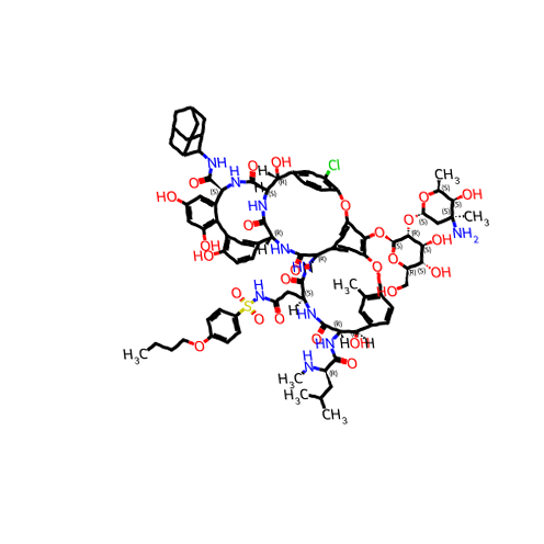 CCCCOc1ccc(S(=O)(=O)NC(=O)C[C@@H]2NC(=O)[C@H](NC(=O)[C@@H](CC(C)C)NC)[C@H](O)c3ccc(c(C)c3)Oc3cc4cc(c3O[C@@H]3O[C@H](CO)[C@@H](O)[C@H](O)[C@H]3O[C@H]3C[C@](C)(N)[C@H](O)[C@H](C)O3)Oc3ccc(cc3Cl)[C@@H](O)[C@@H]3NC(=O)[C@H](NC(=O)[C@@H]4NC2=O)c2ccc(O)c(c2)-c2c(O)cc(O)cc2[C@@H](C(=O)NC2C4CC5CC(C4)CC2C5)NC3=O)cc1